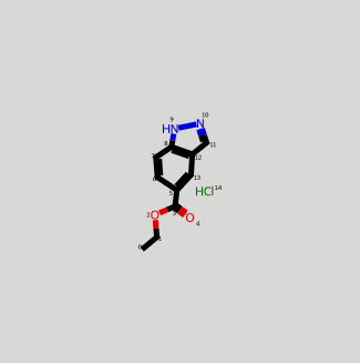 CCOC(=O)c1ccc2[nH]ncc2c1.Cl